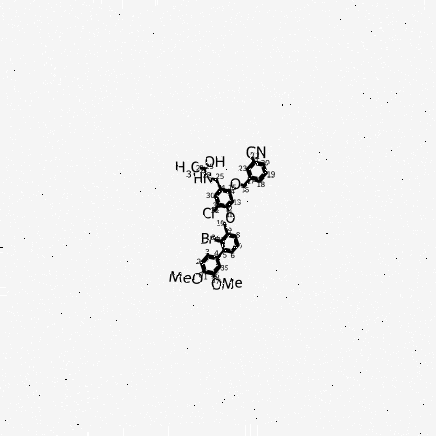 COc1ccc(-c2cccc(COc3cc(OCc4cccc(C#N)c4)c(CNC(C)O)cc3Cl)c2Br)cc1OC